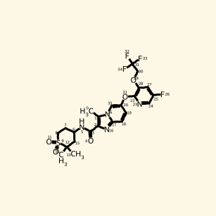 Cc1c(C(=O)NC2CCS(=O)(=O)C(C)(C)C2)nc2ccc(Oc3ncc(F)cc3OCC(F)(F)F)cn12